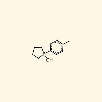 Cc1ccc([P]2(O)CCCC2)cc1